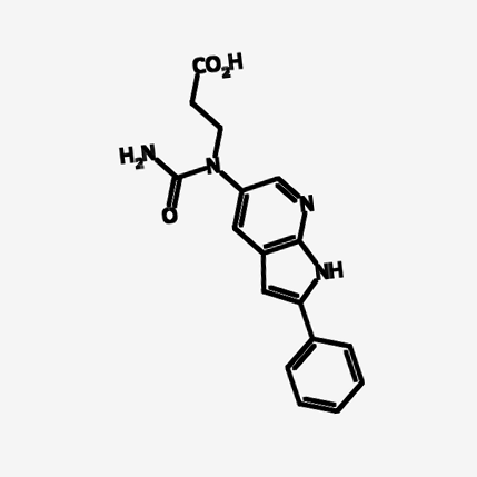 NC(=O)N(CCC(=O)O)c1cnc2[nH]c(-c3ccccc3)cc2c1